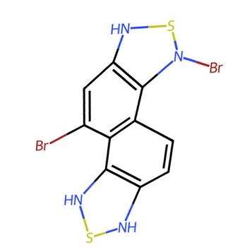 Brc1cc2[nH]sn(Br)c2c2ccc3[nH]s[nH]c3c12